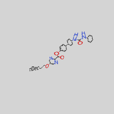 CCCCCCCCCCCCOc1cnc(C(=O)Oc2ccc(-c3ccc(NC(=O)Nc4ccccc4)cc3)cc2)nc1